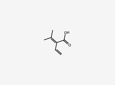 C=CC(C(=O)O)=C(C)C